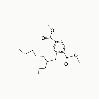 CCCCCC(CCC)Cc1cc(C(=O)OC)ccc1C(=O)OC